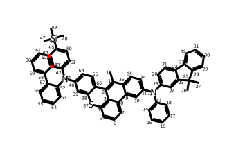 Cc1c2c3c(cccc3c3cc(N(c4ccccc4)c4ccc5c(c4)C(C)(C)c4ccccc4-5)ccc13)Sc1cc(N(c3ccc([Si](C)(C)C)cc3)c3ccccc3-c3ccccc3)ccc1-2